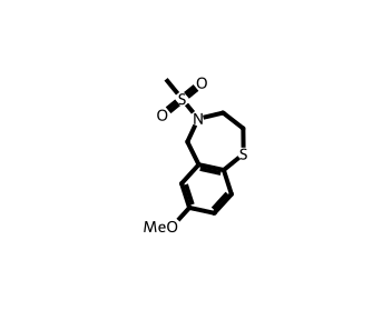 COc1ccc2c(c1)CN(S(C)(=O)=O)CCS2